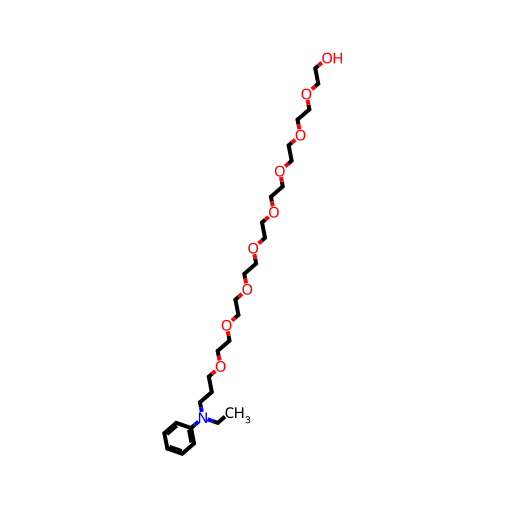 CCN(CCCOCCOCCOCCOCCOCCOCCOCCOCCO)c1ccccc1